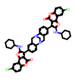 O=c1oc2ccc(Cl)cc2c2oc(NC3CCCCC3)c(-c3ccc4c(c3)CN3CN4Cc4cc(-c5c(NC6CCCCC6)oc6c5c(=O)oc5ccc(Cl)cc56)ccc43)c12